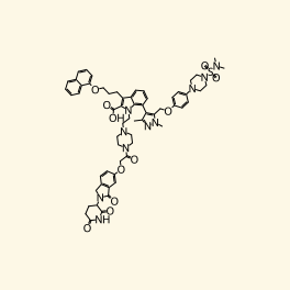 Cc1nn(C)c(COc2ccc(N3CCN(S(=O)(=O)N(C)C)CC3)cc2)c1-c1cccc2c(CCCOc3cccc4ccccc34)c(C(=O)O)n(CCN3CCN(C(=O)COc4ccc5c(c4)C(=O)N(C4CCC(=O)NC4=O)C5)CC3)c12